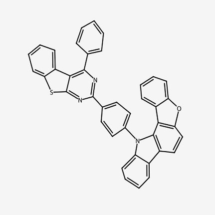 c1ccc(-c2nc(-c3ccc(-n4c5ccccc5c5ccc6oc7ccccc7c6c54)cc3)nc3sc4ccccc4c23)cc1